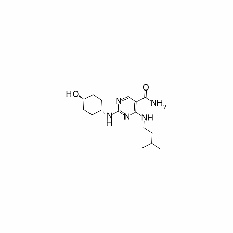 CC(C)CCNc1nc(N[C@H]2CC[C@H](O)CC2)ncc1C(N)=O